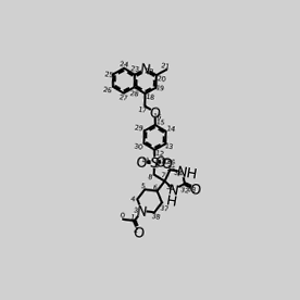 CC(=O)N1CCC(C2(CS(=O)(=O)c3ccc(OCc4cc(C)nc5ccccc45)cc3)NC(=O)NC2=O)CC1